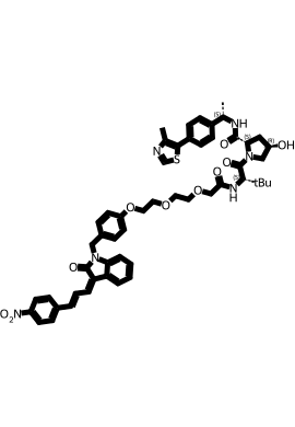 Cc1ncsc1-c1ccc([C@H](C)NC(=O)[C@@H]2C[C@@H](O)CN2C(=O)[C@@H](NC(=O)COCCOCCOc2ccc(CN3C(=O)C(=CC=Cc4ccc([N+](=O)[O-])cc4)c4ccccc43)cc2)C(C)(C)C)cc1